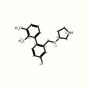 Cc1cccc(-c2ccc(F)cc2CO[C@H]2CCNC2)c1C